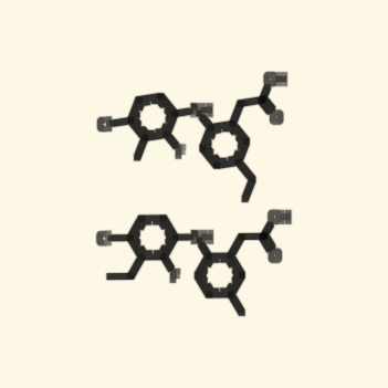 CCc1c(Cl)ccc(Nc2ccc(C)cc2CC(=O)O)c1F.CCc1ccc(Nc2ccc(Cl)c(C)c2F)c(CC(=O)O)c1